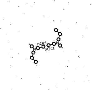 CCCCCCCCc1cc(-c2ccc(N(c3ccc(C)cc3)c3ccc(-c4cccc(-c5ccccc5)c4)cc3)cc2)ccc1-c1ccc(-c2ccc(N(c3ccc(C)cc3)c3ccc(-c4cccc(-c5ccccc5)c4)cc3)cc2)cc1CCCCCCCC